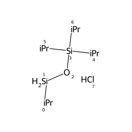 CC(C)[SiH2]O[Si](C(C)C)(C(C)C)C(C)C.Cl